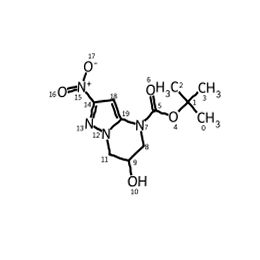 CC(C)(C)OC(=O)N1CC(O)Cn2nc([N+](=O)[O-])cc21